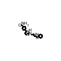 NC(=O)c1ccc(-c2ccnc(NCCCc3nc4ccccc4[nH]3)n2)cc1